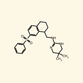 CC1(C)CN=C(NCC2CCCc3ccc(S(=O)(=O)c4ccccc4)cc32)NC1